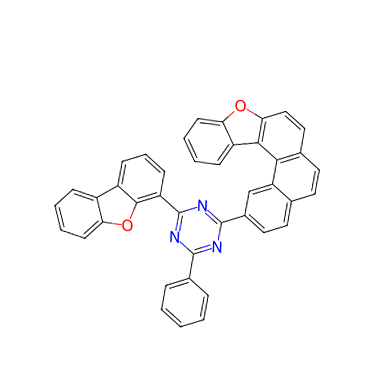 c1ccc(-c2nc(-c3ccc4ccc5ccc6oc7ccccc7c6c5c4c3)nc(-c3cccc4c3oc3ccccc34)n2)cc1